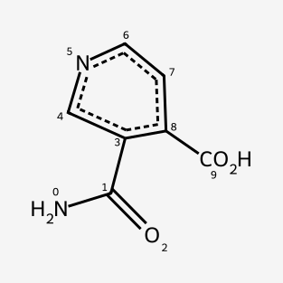 NC(=O)c1cnccc1C(=O)O